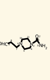 NC(=O)N1CCN(CC[C]=O)CC1